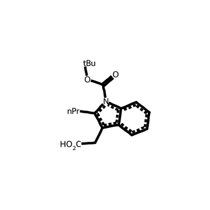 CCCc1c(CC(=O)O)c2ccccc2n1C(=O)OC(C)(C)C